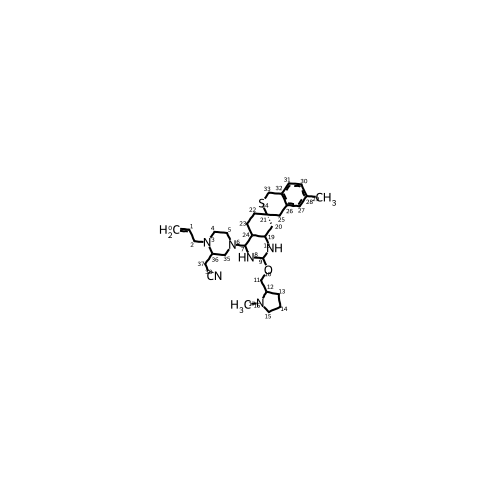 C=CCN1CCN(C2NC(OCC3CCCN3C)NC3C[C@@]4(CCC32)Cc2cc(C)ccc2CS4)CC1CC#N